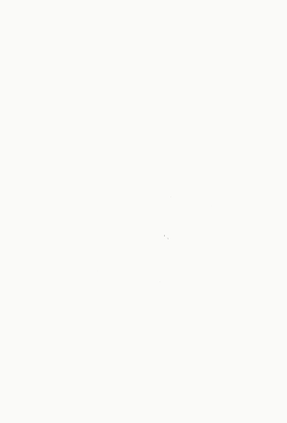 c1ccc(-c2ccc3oc4cccc(Nc5cccc6c5oc5cccc(-c7ccccc7)c56)c4c3c2)cc1